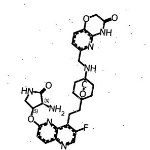 N[C@@H]1C(=O)NC[C@@H]1Oc1ccc2ncc(F)c(CCC34CCC(NCc5ccc6c(n5)NC(=O)CO6)(CC3)CO4)c2n1